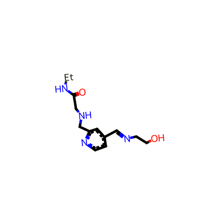 CCNC(=O)CNCc1cc(C=NCCO)ccn1